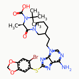 C[C@H](C(=O)N1CCCC(CCn2cnc(N)c3nc(Sc4cc5c(cc4Br)OCO5)nc2-3)C1)N(C(=O)O)C(C)(C)C